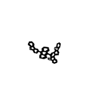 c1ccc2c(c1)oc1c2ccc2c1cc(-c1c3ccccc3c(-c3ccc4sc5ccccc5c4c3)c3ccccc13)c1oc3ccccc3c12